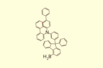 Bc1cccc2c1-c1ccccc1C2(c1ccccc1)c1cccc(N(c2ccc(-c3ccccc3)cc2)c2ccccc2-c2ccccc2)c1